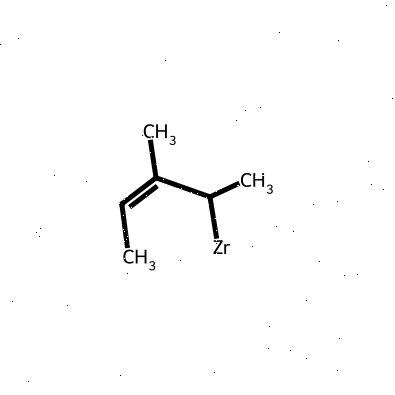 CC=C(C)[CH](C)[Zr]